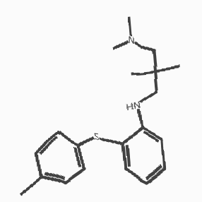 Cc1ccc(Sc2ccccc2NCC(C)(C)CN(C)C)cc1